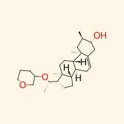 C[C@@H]1C[C@@]2(C)C(=CC[C@H]3[C@@H]4CC[C@H]([C@H](C)OC5CCCOC5)[C@@]4(C)CC[C@@H]32)C[C@H]1O